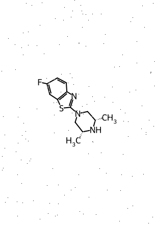 C[C@@H]1CN(c2nc3ccc(F)cc3s2)C[C@H](C)N1